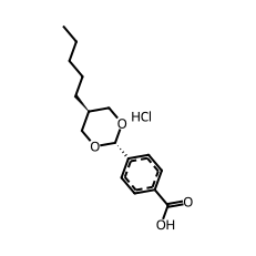 CCCCC[C@H]1CO[C@H](c2ccc(C(=O)O)cc2)OC1.Cl